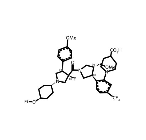 CCO[C@H]1CC[C@H](N2C[C@@H](c3ccc(OC)cc3)[C@](F)(C(=O)N3C[C@H](COC)[C@@H](c4ccc(C(F)(F)F)cc4N4CCC(C(=O)O)CC4)C3)C2)CC1